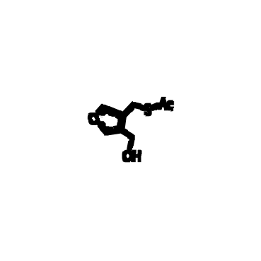 CC(=O)SCc1cocc1CO